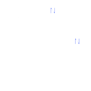 Cc1c(C(C)C)ncnc1C(C)C